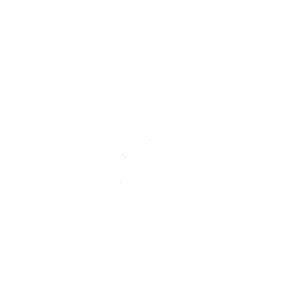 CSC(=Nc1ccccc1F)c1cnccn1